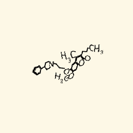 CCCCc1c(C)c2cc(OCCCN3CCC(c4ccccc4)CC3)c(OC)cc2oc1=O